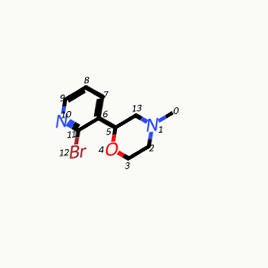 CN1CCOC(c2cccnc2Br)C1